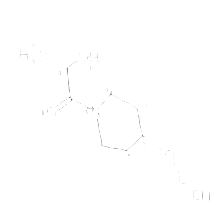 CCOC1CCN(C(=O)[C@H](C)O)CC1